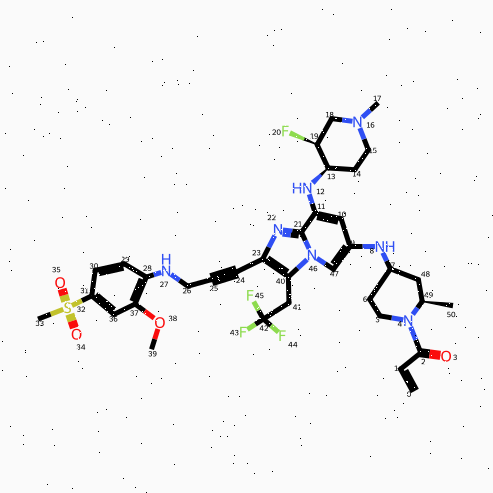 C=CC(=O)N1CCC(Nc2cc(N[C@@H]3CCN(C)C[C@@H]3F)c3nc(C#CCNc4ccc(S(C)(=O)=O)cc4OC)c(CC(F)(F)F)n3c2)C[C@H]1C